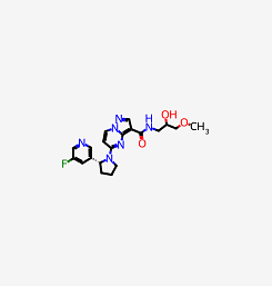 COCC(O)CNC(=O)c1cnn2ccc(N3CCC[C@@H]3c3cncc(F)c3)nc12